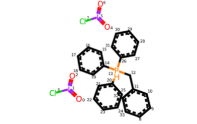 O=I(=O)Cl.O=I(=O)Cl.c1ccc(C[PH](c2ccccc2)(c2ccccc2)c2ccccc2)cc1